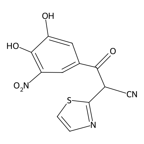 N#CC(C(=O)c1cc(O)c(O)c([N+](=O)[O-])c1)c1nccs1